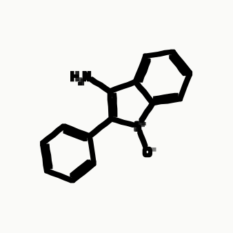 Nc1c(-c2ccccc2)[s+]([O-])c2ccccc12